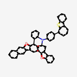 c1ccc(N(c2ccc(-c3cccc4c3sc3ccccc34)cc2)c2ccc3oc4ccccc4c3c2)c(-c2cccc3c2oc2cc4ccccc4cc23)c1